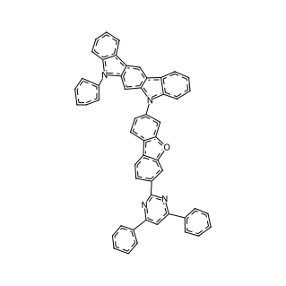 c1ccc(-c2cc(-c3ccccc3)nc(-c3ccc4c(c3)oc3cc(-n5c6ccccc6c6cc7c8ccccc8n(-c8ccccc8)c7cc65)ccc34)n2)cc1